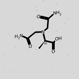 C[C@H](C(=O)O)N(CC(N)=O)CC(N)=O